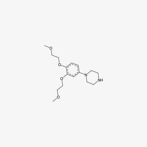 COCCOc1ccc(N2CCNCC2)cc1OCCOC